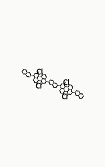 Clc1ccc2c(-c3ccc4ccccc4c3)cc(Cl)c3c4c(Cl)ccc5c(-c6ccc7cc(-c8cc(Cl)c9c%10c(Cl)ccc%11c(-c%12ccc%13ccccc%13c%12)cc(Cl)c(c%12c(Cl)ccc8c%129)c%11%10)ccc7c6)cc(Cl)c(c1c23)c54